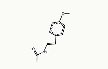 COc1ccc(/C=C/NC(C)=O)cc1